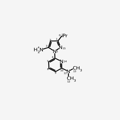 CC(C)c1cc(N)n(-c2cccc(N(C)C)n2)n1